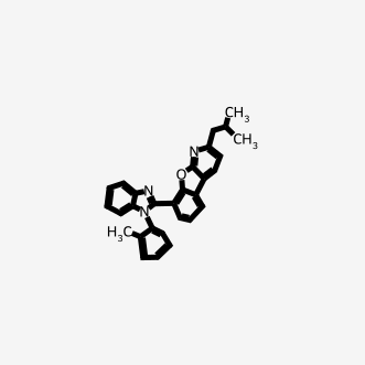 Cc1ccccc1-n1c(-c2cccc3c2oc2nc(CC(C)C)ccc23)nc2ccccc21